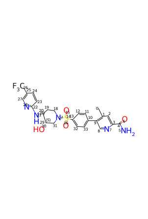 Cc1cc(C(N)=O)ncc1-c1ccc(S(=O)(=O)N2CC[C@@H](Nc3ccc(C(F)(F)F)cn3)[C@@H](O)C2)cc1